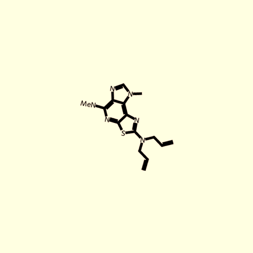 C=CCN(CC=C)c1nc2c(nc(NC)c3ncn(C)c32)s1